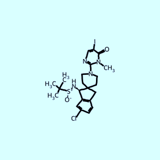 Cn1c(N2CCC3(CC2)Cc2ccc(Cl)cc2[C@H]3N[S@+]([O-])C(C)(C)C)ncc(I)c1=O